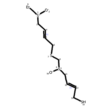 CC[S+]([O-])C/C=C/CSC[S+]([O-])C/C=C/CS